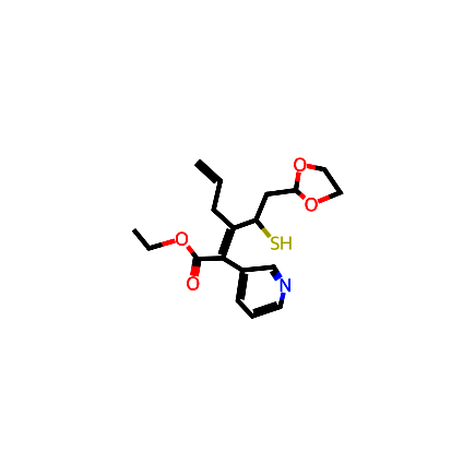 C=CCC(=C(C(=O)OCC)c1cccnc1)C(S)CC1OCCO1